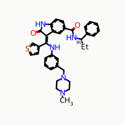 CC[C@@H](NC(=O)c1ccc2c(c1)C(=C(Nc1cccc(CN3CCN(C)CC3)c1)c1ccsc1)C(=O)N2)c1ccccc1